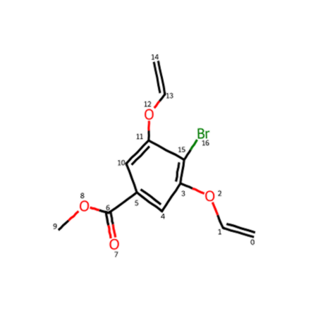 C=COc1cc(C(=O)OC)cc(OC=C)c1Br